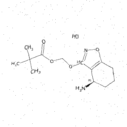 CC(C)(C)C(=O)OCO[14c]1noc2c1[C@H](N)CCC2.Cl